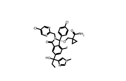 CCC(O)(c1cc(F)c2c(c1)C(=O)N(Cc1ncc(Cl)cn1)[C@@]2(OCC1(C(N)=O)CC1)c1ccc(Cl)cc1)c1cn(C)cn1